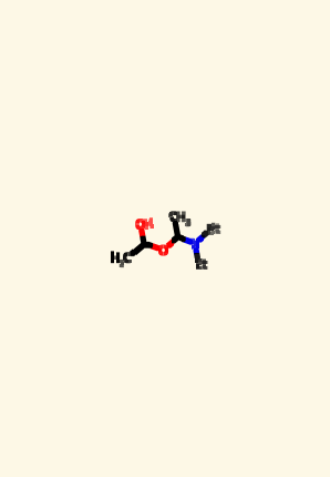 CCN(CC)C(C)OC(C)O